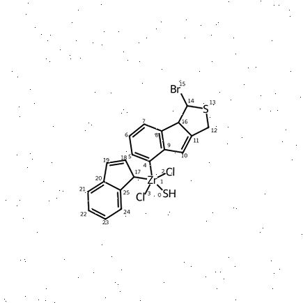 [SH][Zr]([Cl])([Cl])([c]1cccc2c1C=C1CSC(Br)C12)[CH]1C=Cc2ccccc21